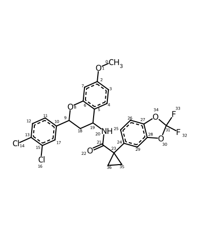 COc1ccc2c(c1)OC(c1ccc(Cl)c(Cl)c1)CC2NC(=O)C1(c2ccc3c(c2)OC(F)(F)O3)CC1